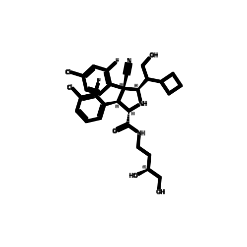 N#C[C@@]1(c2ccc(Cl)cc2F)[C@@H](C(CO)C2CCC2)N[C@H](C(=O)NCC[C@H](O)CO)[C@H]1c1cccc(Cl)c1F